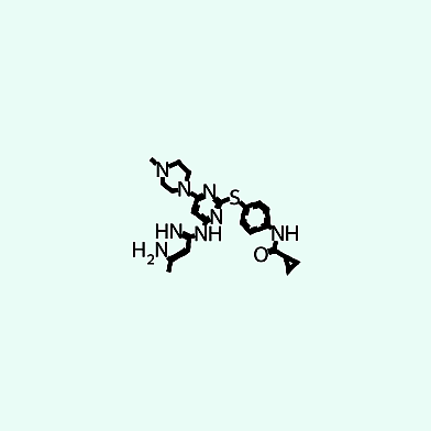 C/C(N)=C/C(=N)Nc1cc(N2CCN(C)CC2)nc(Sc2ccc(NC(=O)C3CC3)cc2)n1